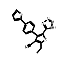 CCc1sc(-c2nnn[nH]2)c(-c2ccc(-c3cccs3)cc2)c1C#N